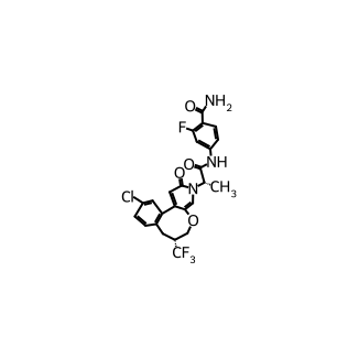 C[C@@H](C(=O)Nc1ccc(C(N)=O)c(F)c1)n1cc2c(cc1=O)-c1cc(Cl)ccc1C[C@@H](C(F)(F)F)CO2